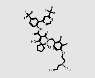 CN(CCO)CCOc1ccc(CN2C(=O)C(C(=O)Nc3ccc(C(F)(F)F)cc3-c3cc(C(F)(F)F)ncn3)=C(O)C3(CCCC3)N2C)c(F)c1F